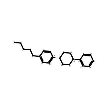 CCCCCc1ccc([C@H]2CC[C@H](c3ccccc3)CC2)cc1